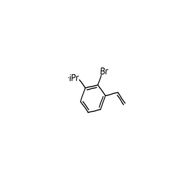 C=Cc1cccc([C](C)C)c1Br